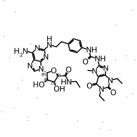 CCNC(=O)[C@@H]1O[C@@H](n2cnc3c(N)nc(NCCc4ccc(NC(=O)Nc5nc6c(c(=O)n(CC)c(=O)n6CC)n5C)cc4)nc32)[C@H](O)[C@@H]1O